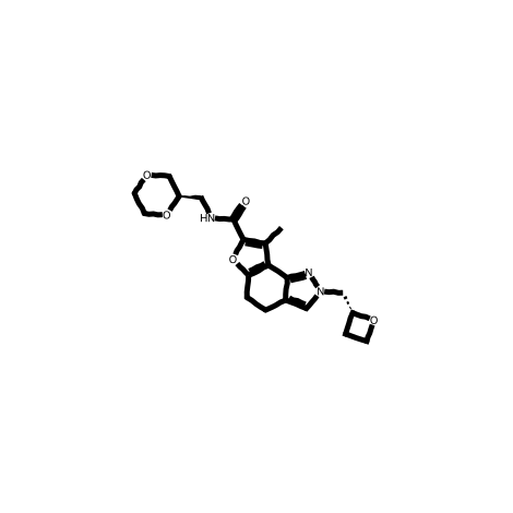 Cc1c(C(=O)NC[C@@H]2COCCO2)oc2c1-c1nn(C[C@H]3CCO3)cc1CC2